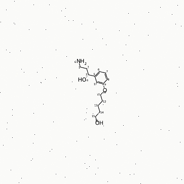 NCC[C@@H](O)c1cccc(OCCCCCO)c1